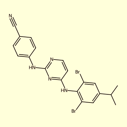 CC(C)c1cc(Br)c(Nc2ccnc(Nc3ccc(C#N)cc3)n2)c(Br)c1